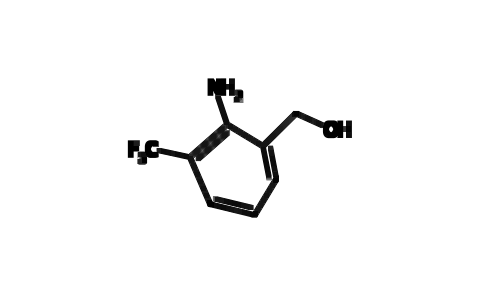 Nc1c(CO)cccc1C(F)(F)F